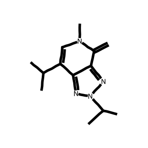 C=C1c2nn(C(C)C)nc2C(C(C)C)=CN1C